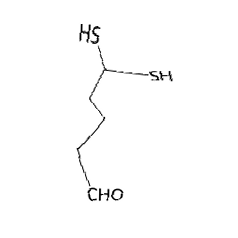 O=CCCCC(S)S